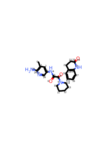 Cc1cc(NC(=O)C(=O)N2CCCC[C@H]2c2ccc3c(c2)CCC(=O)N3)cnc1N